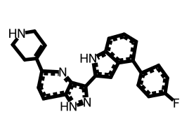 Fc1ccc(-c2cccc3[nH]c(-c4n[nH]c5ccc(C6=CCNCC6)nc45)cc23)cc1